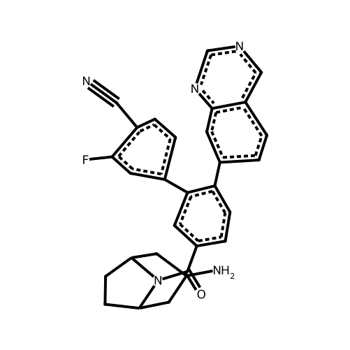 N#Cc1ccc(-c2cc(C(=O)N3C4CCC3CC(N)C4)ccc2-c2ccc3cncnc3c2)cc1F